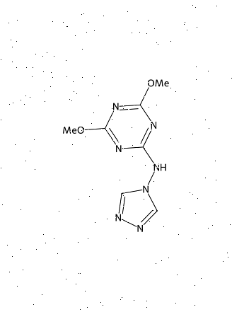 COc1nc(Nn2cnnc2)nc(OC)n1